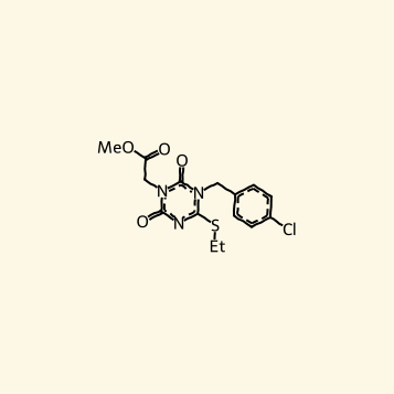 CCSc1nc(=O)n(CC(=O)OC)c(=O)n1Cc1ccc(Cl)cc1